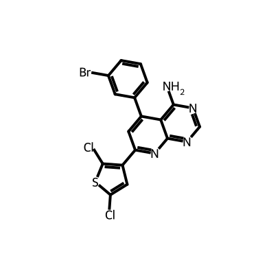 Nc1ncnc2nc(-c3cc(Cl)sc3Cl)cc(-c3cccc(Br)c3)c12